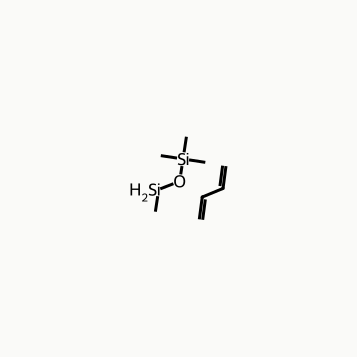 C=CC=C.C[SiH2]O[Si](C)(C)C